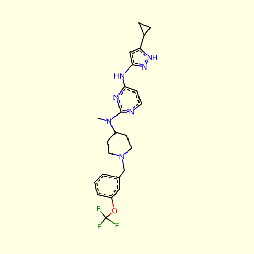 CN(c1nccc(Nc2cc(C3CC3)[nH]n2)n1)C1CCN(Cc2cccc(OC(F)(F)F)c2)CC1